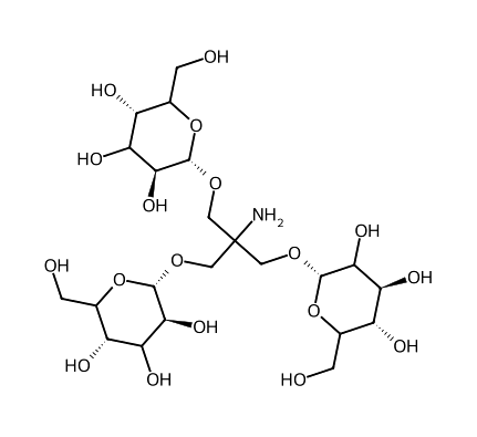 NC(CO[C@H]1OC(CO)[C@@H](O)[C@H](O)C1O)(CO[C@H]1OC(CO)[C@@H](O)C(O)[C@@H]1O)CO[C@H]1OC(CO)[C@@H](O)C(O)[C@@H]1O